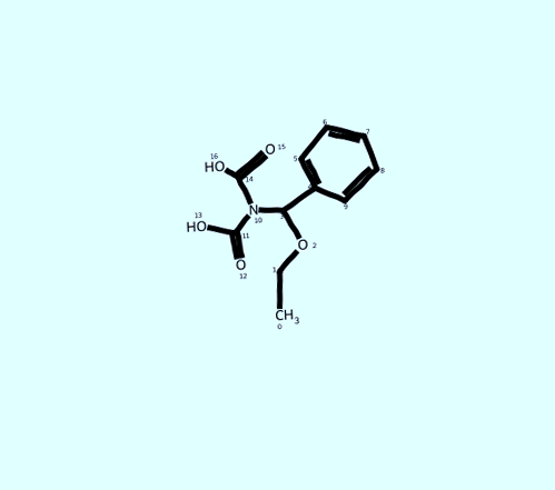 CCOC(c1ccccc1)N(C(=O)O)C(=O)O